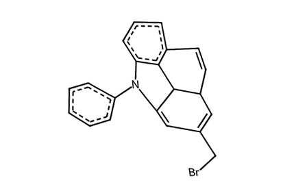 BrCC1=CC2C=Cc3cccc4c3C2C(=C1)N4c1ccccc1